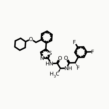 C[C@H](NC(=O)[C@@H](F)c1cc(F)cc(F)c1)C(=O)Nc1ncc(-c2ccccc2COC2CCCCC2)s1